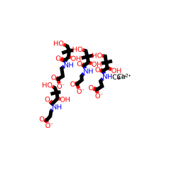 CC(C)(CO)C(O)C(=O)NCCC(=O)[O-].CC(C)(CO)C(O)C(=O)NCCC(=O)[O-].CC(C)(CO)C(O)C(=O)NCCC(=O)[O-].CC(C)(CO)C(O)C(=O)NCCC(=O)[O-].[Ca+2].[Ca+2]